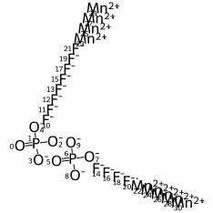 O=P([O-])([O-])[O-].O=P([O-])([O-])[O-].[F-].[F-].[F-].[F-].[F-].[F-].[F-].[F-].[F-].[F-].[F-].[F-].[Mn+2].[Mn+2].[Mn+2].[Mn+2].[Mn+2].[Mn+2].[Mn+2].[Mn+2].[Mn+2]